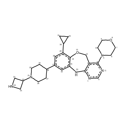 c1nc2c(c(N3CCOCC3)n1)COc1c(cc(C3CCN(C4CNC4)CC3)cc1C1CC1)N2